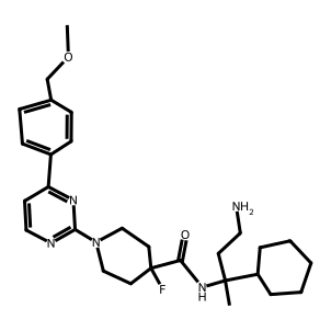 COCc1ccc(-c2ccnc(N3CCC(F)(C(=O)NC(C)(CCN)C4CCCCC4)CC3)n2)cc1